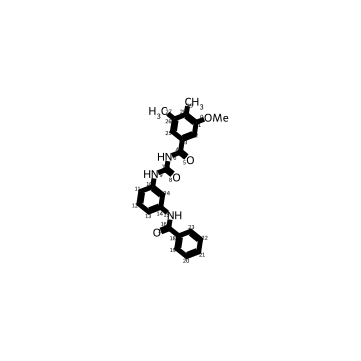 COc1cc(C(=O)NC(=O)Nc2cccc(NC(=O)c3ccccc3)c2)cc(C)c1C